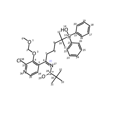 COCOc1c(/C(CCCC(C)(C)[Si](O)(c2ccccc2)c2ccccc2)=N\[S+]([O-])C(C)(C)C)ccnc1Cl